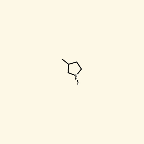 [CH2-][NH+]1CCC(C)C1